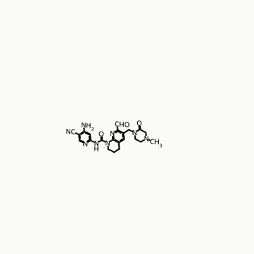 CN1CCN(Cc2cc3c(nc2C=O)N(C(=O)Nc2cc(N)c(C#N)cn2)CCC3)C(=O)C1